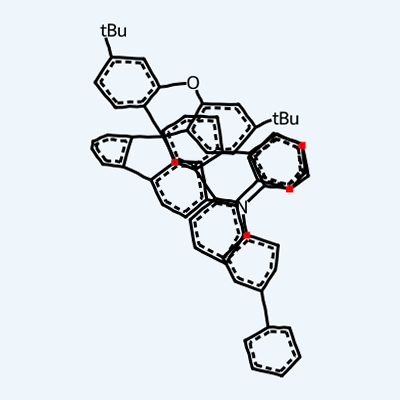 CC(C)(C)c1ccc2c(c1)Oc1cc(C(C)(C)C)ccc1C21c2ccccc2-c2ccc(N(c3ccc(-c4ccccc4)cc3)c3ccccc3-c3ccccc3-c3ccccc3-c3ccccc3)cc21